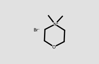 C[N+]1(C)CCOCC1.[Br-]